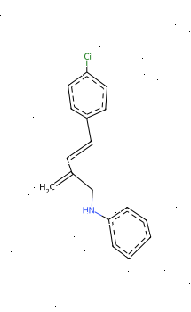 C=C(C=Cc1ccc(Cl)cc1)CNc1ccccc1